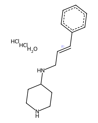 C(=C\c1ccccc1)/CNC1CCNCC1.Cl.Cl.O